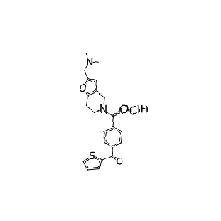 CN(C)Cc1cc2c(o1)CCN(C(=O)c1ccc(C(=O)c3cccs3)cc1)C2.Cl